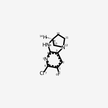 Fc1cc2c(nc1Cl)N[C@H]1CCN2C1